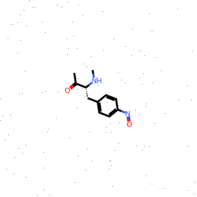 CN[C@H](Cc1ccc(N=O)cc1)C(C)=O